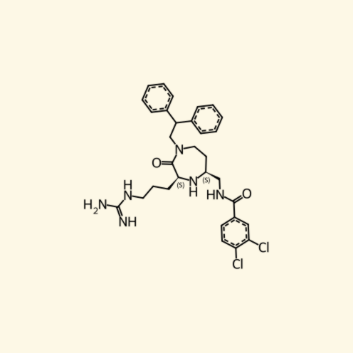 N=C(N)NCCC[C@@H]1N[C@H](CNC(=O)c2ccc(Cl)c(Cl)c2)CCN(CC(c2ccccc2)c2ccccc2)C1=O